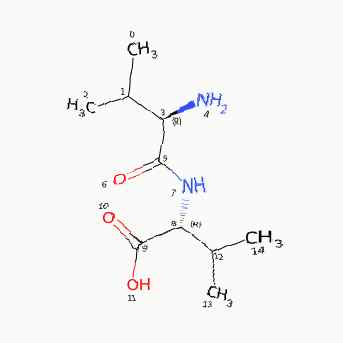 CC(C)[C@@H](N)C(=O)N[C@@H](C(=O)O)C(C)C